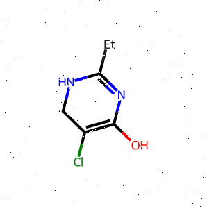 CCC1=NC(O)=C(Cl)[CH]N1